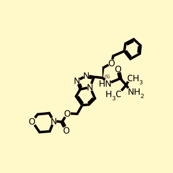 CC(C)(N)C(=O)N[C@H](COCc1ccccc1)c1nnc2cc(COC(=O)N3CCOCC3)ccn12